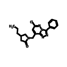 CCCC1CC(=O)N(Cc2cc(Cl)nn3c(-c4ccccc4)nnc23)C1